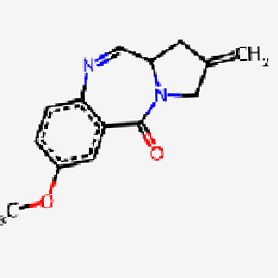 C=C1CC2C=Nc3ccc(OC)cc3C(=O)N2C1